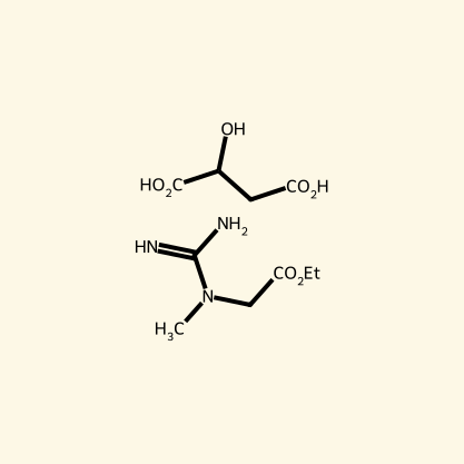 CCOC(=O)CN(C)C(=N)N.O=C(O)CC(O)C(=O)O